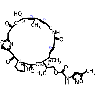 CC1=C\[C@@H](O)CC(=O)Cc2nc(co2)C(=O)N2CCC[C@@H]2C(=O)O[C@H]([C@@H](C)COC(=O)Nc2cc(C)on2)[C@H](C)/C=C/C(=O)NC\C=C\1